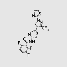 O=C(Nc1ccc(-c2cn(-c3nccs3)nc2C(F)(F)F)cn1)c1c(F)ccc(F)c1F